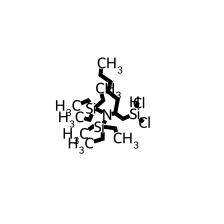 CCCCCC(C[SiH](Cl)Cl)N([Si](CC)(CC)CC)[Si](CC)(CC)CC